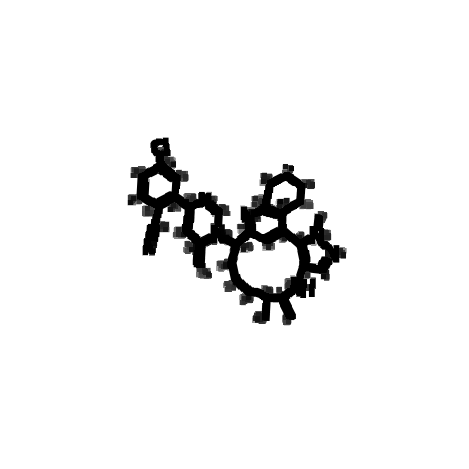 C=C1Nc2cnn(C)c2-c2cc(nc3c2CCCC3)C(N2C=NC(c3cc(Cl)ccc3C#N)=CC2=C)CCCC1C